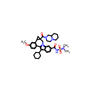 COc1ccc2c(c1)C1CC1(C(=O)N1CCN3CCCCC3C1)Cn1c-2c(C2CCCCC2)c2ccc(C(=O)NS(=O)(=O)N(C)C)cc21